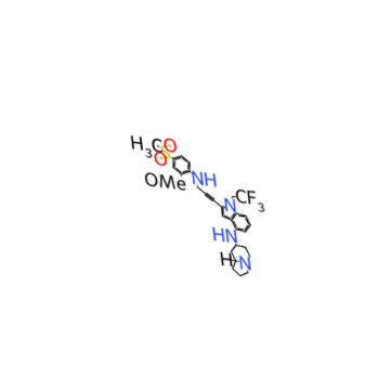 COc1cc(S(C)(=O)=O)ccc1NCC#Cc1cc2c(N[C@@H]3CCN4CCC[C@@H]4C3)cccc2n1CC(F)(F)F